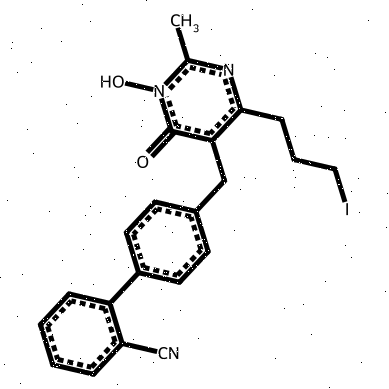 Cc1nc(CCCI)c(Cc2ccc(-c3ccccc3C#N)cc2)c(=O)n1O